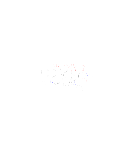 CN(C)c1c2c(c(O)c3ccccc13)C(=O)C1=C(O)[C@]3(O)C(=O)C(C(N)=O)=C(O)[C@@H](N(C)C)[C@@H]3C[C@@H]1C2